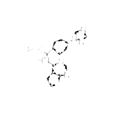 CC(Nc1ncnc2sccc12)c1ccc(-n2cncn2)cc1